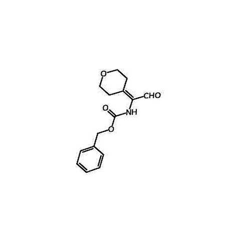 O=CC(NC(=O)OCc1ccccc1)=C1CCOCC1